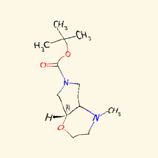 CN1CCO[C@@H]2CN(C(=O)OC(C)(C)C)CC21